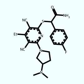 CCc1c(C#N)c(SC(C(N)=O)c2ccc(F)cc2)nc(N2CCC(N(C)C)C2)c1C#N